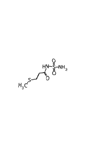 CSCCC(=O)NS(N)(=O)=O